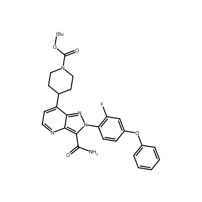 CC(C)(C)OC(=O)N1CCC(c2ccnc3c(C(N)=O)n(-c4ccc(Oc5ccccc5)cc4F)nc23)CC1